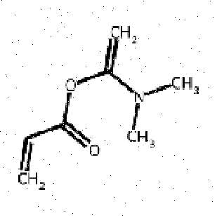 C=CC(=O)OC(=C)N(C)C